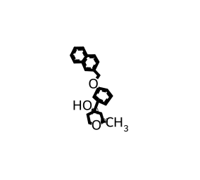 C[C@@H]1C[C@@](O)(c2cccc(OCc3ccc4ccccc4c3)c2)CCO1